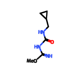 COC(=N)NC(=O)NCC1CC1